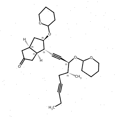 CCC#CC[C@@H](C)[C@@H](C#C[C@@H]1[C@H]2CC(=O)C[C@H]2C[C@H]1OC1CCCCO1)OC1CCCCO1